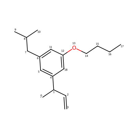 [CH2]C(C=C)c1cc(CC(C)C)cc(OCCCC)c1